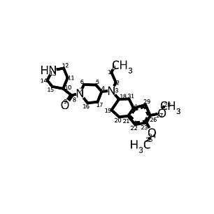 CCCN(C1CCN(C(=O)C2CCNCC2)CC1)C1CCc2cc(OC)c(OC)cc2C1